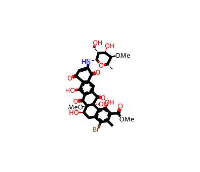 COC(=O)c1c(C)c(Br)c2c(c1O)[C@]1(O)C(=O)c3cc4c(c(O)c3C(=O)[C@]1(OC)[C@H](O)C2)C(=O)C=C(N[C@H]1O[C@@H](C)[C@H](OC)[C@@H](O)[C@H]1CO)C4=O